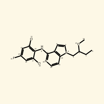 CCC(Cn1ccc2c(Nc3c(Cl)cc(F)cc3Cl)nccc21)OC